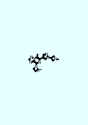 Cc1c(-c2cnn(C3CN(C)C3)c2)nc(N2CC[C@@H]2C)c2ncnn12